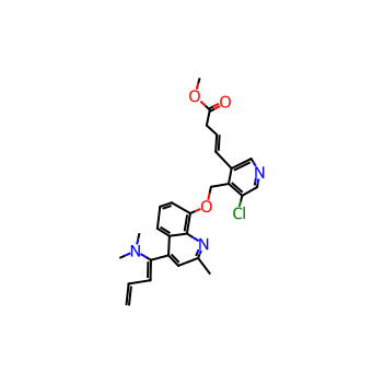 C=C/C=C(/c1cc(C)nc2c(OCc3c(Cl)cncc3/C=C/CC(=O)OC)cccc12)N(C)C